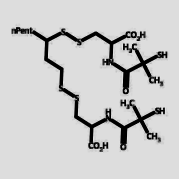 CCCCCC(CCSSCC(NC(=O)C(C)(C)S)C(=O)O)SSCC(NC(=O)C(C)(C)S)C(=O)O